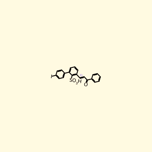 O=C(/C=C/c1cccc(-c2ccc(I)cc2)c1S(=O)(=O)O)c1ccccc1